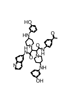 CC(=O)c1ccc(NC(=O)C(C(C(=O)Nc2ccc3ncccc3c2)N2CCC(Nc3cccc(O)c3)CC2)N2CCC(Nc3cccc(O)c3)CC2)cc1